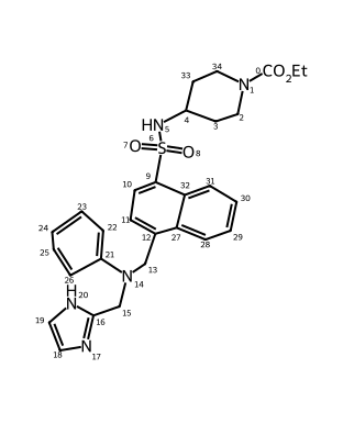 CCOC(=O)N1CCC(NS(=O)(=O)c2ccc(CN(Cc3ncc[nH]3)c3ccccc3)c3ccccc23)CC1